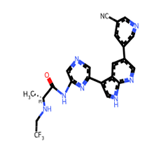 C[C@@H](NCC(F)(F)F)C(=O)Nc1cncc(-c2c[nH]c3ncc(-c4cncc(C#N)c4)cc23)n1